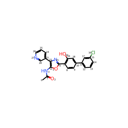 CC(=O)Nc1oc(-c2ccc(-c3cccc(Cl)c3)cc2O)nc1-c1cccnc1